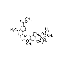 CNc1cc(C(=O)OC)ccc1[C@@H]1CCCCN1Cc1c(OC)cc(C)c2c1ccn2C(=O)OC(C)(C)C